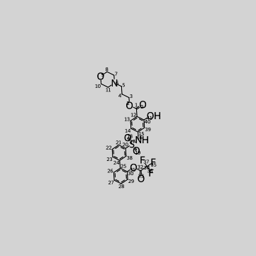 O=C(OCCCN1CCOCC1)c1ccc(NS(=O)(=O)c2cccc(-c3ccccc3OC(=O)C(F)(F)F)c2)cc1O